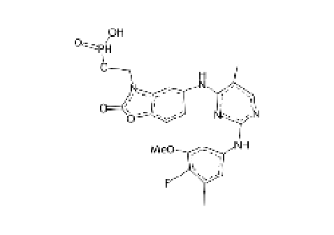 COc1cc(Nc2ncc(C)c(Nc3ccc4oc(=O)n(CO[PH](=O)O)c4c3)n2)cc(C)c1F